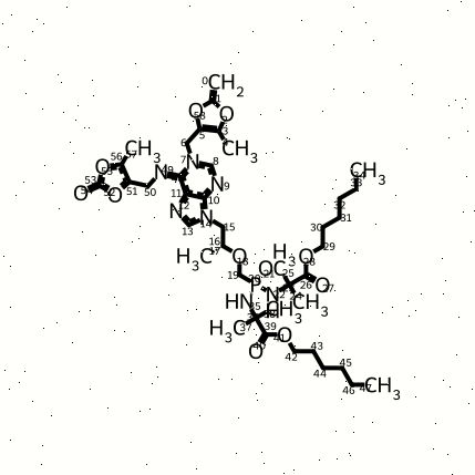 C=C1OC(C)=C(Cn2cnc3c(ncn3C[C@@H](C)OCP(=O)(NC(C)(C)C(=O)OCCCCCC)NC(C)(C)C(=O)OCCCCCC)/c2=N\Cc2oc(=O)oc2C)O1